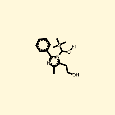 CCOC(n1c(-c2ccccc2)nc(C)c1CCO)[Si](C)(C)C